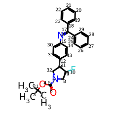 CC(C)(C)OC(=O)N1C[C@H](F)[C@H](c2ccc(N=C(c3ccccc3)c3ccccc3)cc2)C1